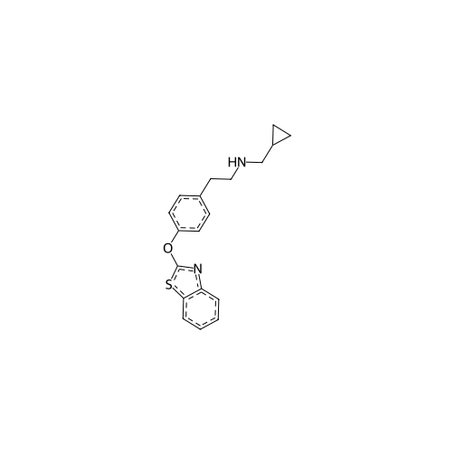 c1ccc2sc(Oc3ccc(CCNCC4CC4)cc3)nc2c1